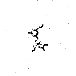 CCOc1cc(CSP(=O)(OCC)SC(C)CC)nc(C)n1